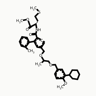 COC(=O)[C@H](CCSC)NC(=O)c1ccc(COC(C)COCc2ccc(OC)c(C3CCCCC3)c2)cc1-c1ccccc1C